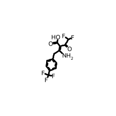 NC(Cc1ccc(C(F)(F)F)cc1)=C(C(=O)O)C(=O)C(F)F